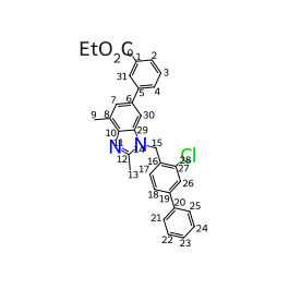 CCOC(=O)c1cccc(-c2cc(C)c3nc(C)n(Cc4ccc(-c5ccccc5)cc4Cl)c3c2)c1